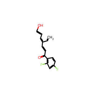 C=CC(/C=C/C(=O)c1ccc(F)cc1F)=C\C=C\O